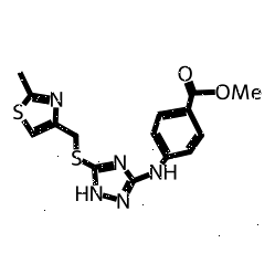 COC(=O)c1ccc(Nc2n[nH]c(SCc3csc(C)n3)n2)cc1